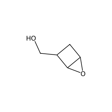 OCC1CC2OC12